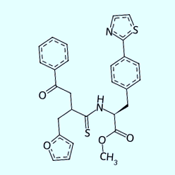 COC(=O)[C@H](Cc1ccc(-c2nccs2)cc1)NC(=S)C(CC(=O)c1ccccc1)Cc1ccco1